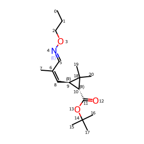 CCCO/N=C/C(C)=C[C@@H]1[C@@H](C(=O)OC(C)(C)C)C1(C)C